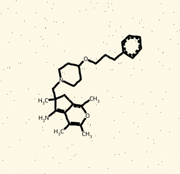 CC1=C(C)C2=C(N)C(C)(CN3CCC(OCCCc4ccccc4)CC3)CC2=C(C)O1